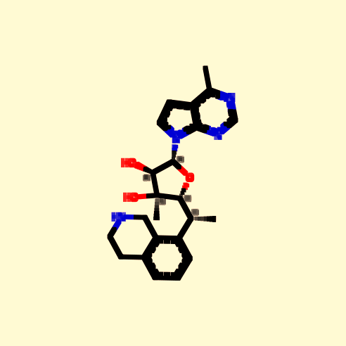 Cc1ncnc2c1ccn2[C@@H]1O[C@H]([C@H](C)c2cccc3c2CNCC3)[C@@](C)(O)[C@H]1O